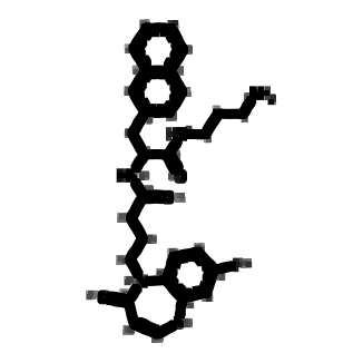 NCCCNC(=O)C(Cc1ccc2ccccc2c1)NC(=O)CCCN1C(=O)C=CSc2cc(F)ccc21